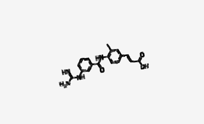 Cc1cc(C=CC(=O)O)ccc1NC(=O)c1cccc(NC(=N)N)c1